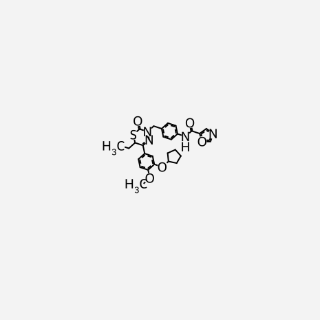 CCC1SC(=O)N(Cc2ccc(NC(=O)c3cnco3)cc2)N=C1c1ccc(OC)c(OC2CCCC2)c1